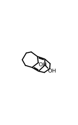 OC1C2=C3CCCC(=C1CCCC2)C3O